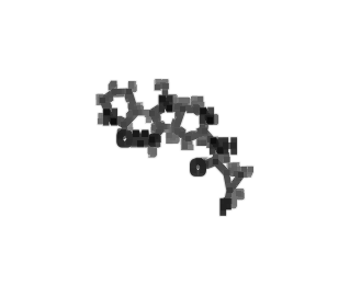 COc1ncccc1-c1c(C)c2cc(NC(=O)C3CC3F)ncc2n1C